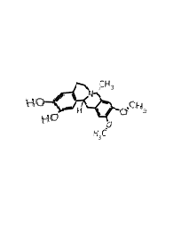 COc1cc2c(cc1OC)[C@@H](C)N1CCc3cc(O)c(O)cc3[C@H]1C2